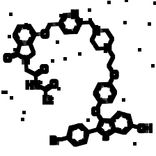 CCC(=O)NC(=O)CN1Cc2c(OCc3ccc(CN4CCN(CCOc5ccc(Oc6c(-c7ccc(Br)cc7)sc7cc(O)ccc67)cc5)CC4)nc3)cccc2C1=O